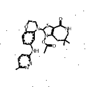 CC(=O)ON1C2=C(SC1N1CCOc3ccc(Nc4ccc(C)nn4)cc31)C(=O)NCC(C)(C)C2